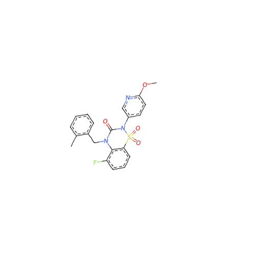 COc1ccc(N2C(=O)N(Cc3ccccc3C)c3c(F)cccc3S2(=O)=O)cn1